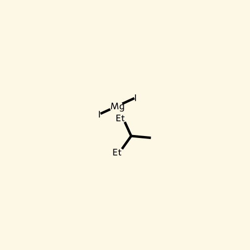 [CH2]CC(C)CC.[I][Mg][I]